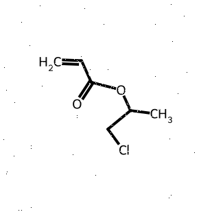 C=CC(=O)OC(C)CCl